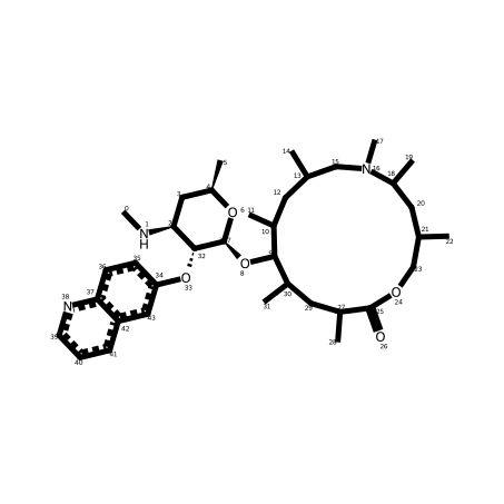 CN[C@H]1C[C@@H](C)O[C@@H](OC2C(C)CC(C)CN(C)C(C)CC(C)COC(=O)C(C)CC2C)[C@@H]1Oc1ccc2ncccc2c1